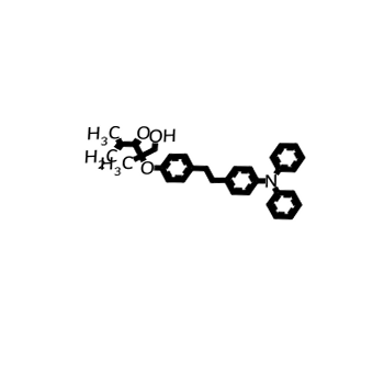 C=C(C)C(=O)C(C)(CO)Oc1ccc(CCc2ccc(N(c3ccccc3)c3ccccc3)cc2)cc1